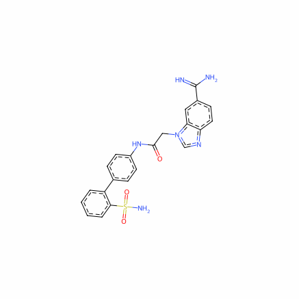 N=C(N)c1ccc2ncn(CC(=O)Nc3ccc(-c4ccccc4S(N)(=O)=O)cc3)c2c1